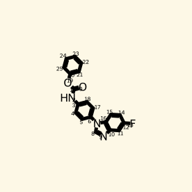 O=C(Nc1ccc(-n2cnc3cc(F)ccc32)cc1)Oc1ccccc1